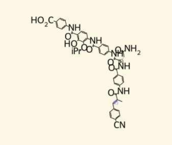 C/C(=C\c1ccc(C#N)cc1)C(=O)Nc1ccc(C(=O)N[C@@H](CC(N)=O)C(=O)Nc2ccc(C(=O)Nc3ccc(C(=O)Nc4ccc(C(=O)O)cc4)c(O)c3OC(C)C)cc2)cc1